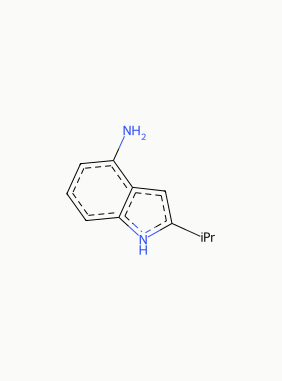 CC(C)c1cc2c(N)cccc2[nH]1